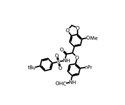 CCCc1cc(NC=O)ccc1OC(C(=O)NS(=O)(=O)c1ccc(C(C)(C)C)cc1)c1cc(OC)c2c(c1)OCO2